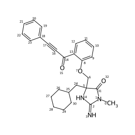 CN1C(=N)NC(COc2ccccc2C(=O)C#Cc2ccccc2)(CC2CCCCC2)C1=O